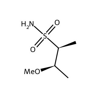 CO[C@H](C)[C@H](C)S(N)(=O)=O